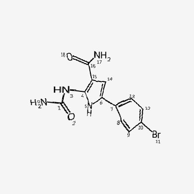 NC(=O)Nc1[nH]c(-c2ccc(Br)cc2)cc1C(N)=O